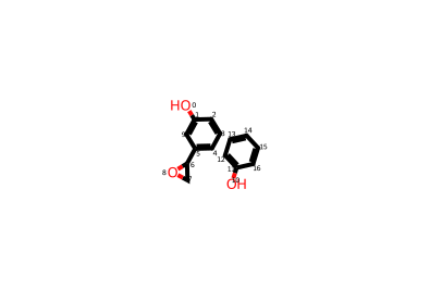 Oc1cccc(C2CO2)c1.Oc1ccccc1